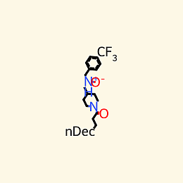 CCCCCCCCCCCCC(=O)N1CCC(C[NH+]([O-])Cc2ccc(C(F)(F)F)cc2)CC1